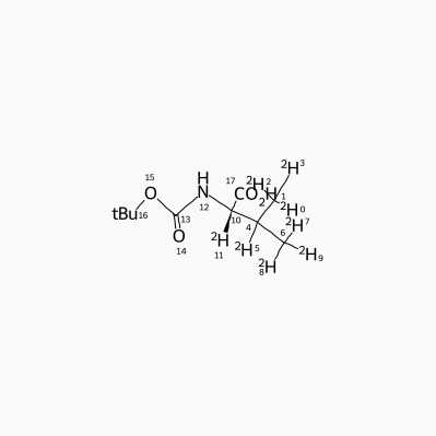 [2H]C([2H])([2H])C([2H])(C([2H])([2H])[2H])[C@]([2H])(NC(=O)OC(C)(C)C)C(=O)O